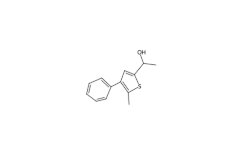 Cc1sc(C(C)O)cc1-c1ccccc1